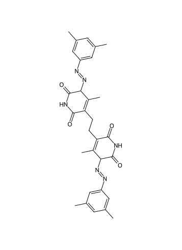 CC1=C(CCC2=C(C)C(N=Nc3cc(C)cc(C)c3)C(=O)NC2=O)C(=O)NC(=O)C1N=Nc1cc(C)cc(C)c1